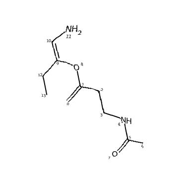 C=C(CCNC(C)=O)O/C(=C\N)CC